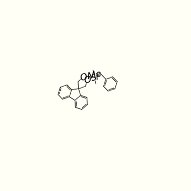 COCC1(CO[Si](C)(C)Cc2ccccc2)c2ccccc2-c2ccccc21